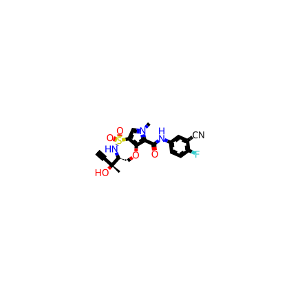 C#C[C@@](C)(O)[C@H]1COc2c(cn(C)c2C(=O)Nc2ccc(F)c(C#N)c2)S(=O)(=O)N1